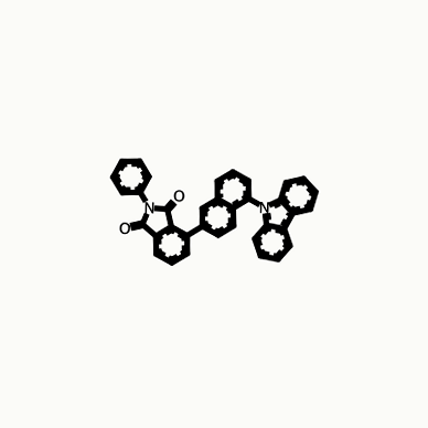 O=C1c2cccc(-c3ccc4c(-n5c6ccccc6c6ccccc65)cccc4c3)c2C(=O)N1c1ccccc1